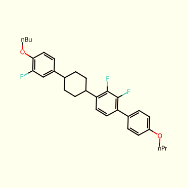 CCCCOc1ccc(C2CCC(c3ccc(-c4ccc(OCCC)cc4)c(F)c3F)CC2)cc1F